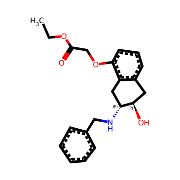 CCOC(=O)COc1cccc2c1C[C@@H](NCc1ccccc1)[C@H](O)C2